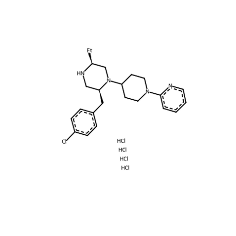 CC[C@H]1CN(C2CCN(c3ccccn3)CC2)[C@@H](Cc2ccc(Cl)cc2)CN1.Cl.Cl.Cl.Cl